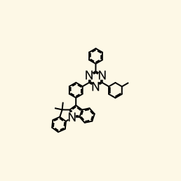 CC1C=CC=C(c2nc(-c3ccccc3)nc(-c3cccc(-c4c5n(c6ccccc46)-c4ccccc4C5(C)C)c3)n2)C1